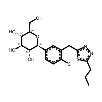 CCCc1nnc(Cc2cc([C@@H]3O[C@H](CO)[C@@H](O)[C@H](O)[C@H]3O)ccc2Cl)s1